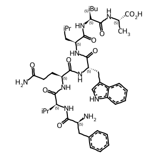 CC[C@H](C)[C@H](NC(=O)[C@H](CC(C)C)NC(=O)[C@H](Cc1c[nH]c2ccccc12)NC(=O)[C@H](CCC(N)=O)NC(=O)[C@@H](NC(=O)[C@@H](N)Cc1ccccc1)C(C)C)C(=O)N[C@@H](C)C(=O)O